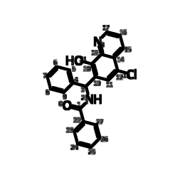 O=C(NC(c1ccccc1)c1cc(Cl)c2cccnc2c1O)c1ccccc1